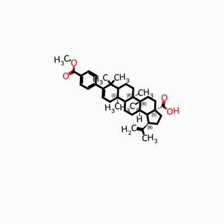 C=C(C)[C@@H]1CC[C@]2(C(=O)O)CC[C@]3(C)[C@H](CCC4[C@@]5(C)CC=C(c6ccc(C(=O)OC)cc6)C(C)(C)C5CC[C@]43C)C12